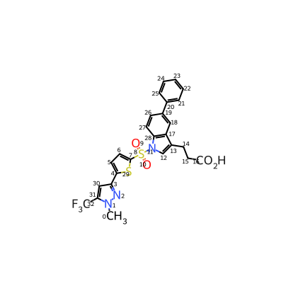 Cn1nc(-c2ccc(S(=O)(=O)n3cc(CCC(=O)O)c4cc(-c5ccccc5)ccc43)s2)cc1C(F)(F)F